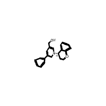 OCC1=CN([C@H]2CCOc3ccccc32)CC(c2ccccc2)=C1